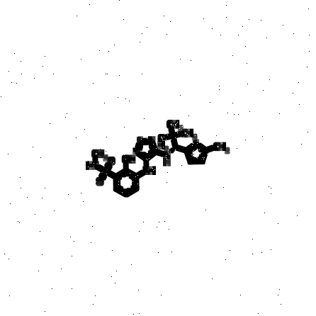 CNS(=O)(=O)c1cccc(Nc2nsnc2N[C@@H](c2ccc(C)s2)C(C)(C)C)c1O